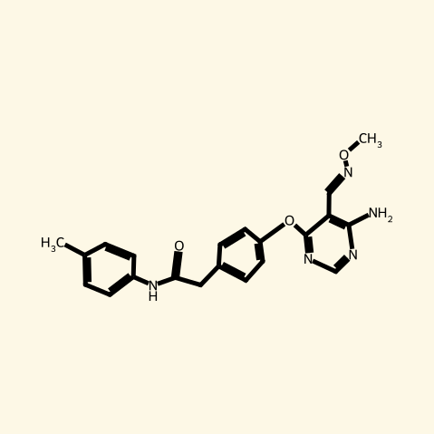 CO/N=C/c1c(N)ncnc1Oc1ccc(CC(=O)Nc2ccc(C)cc2)cc1